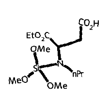 CCCN(C(CC(=O)O)C(=O)OCC)[Si](OC)(OC)OC